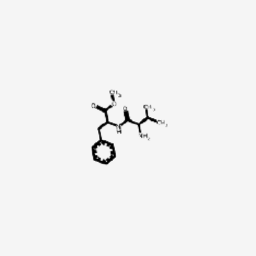 COC(=O)C(Cc1ccccc1)NC(=O)C(N)C(C)C